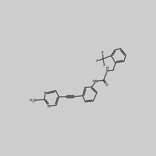 Nc1ncc(C#Cc2cccc(NC(=O)NCc3ccccc3C(F)(F)F)c2)cn1